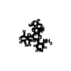 CC(C)[Si](O[C@@H]1[C@@H](C#N)OC(c2ccncc2N)=C[C@H]1O[Si](C(C)C)(C(C)C)C(C)C)(C(C)C)C(C)C